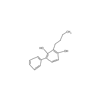 CCCCc1c(O)ccc(-c2ccccc2)c1O